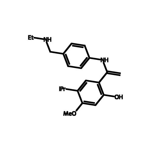 C=C(Nc1ccc(CNCC)cc1)c1cc(C(C)C)c(OC)cc1O